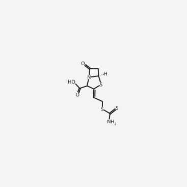 NC(=S)SCC=C1S[C@@H]2CC(=O)N2C1C(=O)O